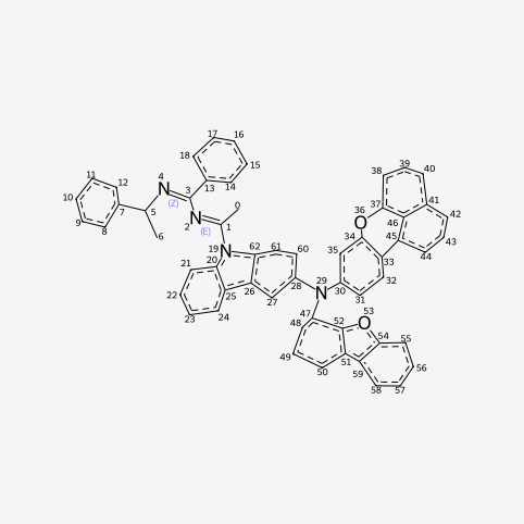 C/C(=N\C(=N/C(C)c1ccccc1)c1ccccc1)n1c2ccccc2c2cc(N(c3ccc4c(c3)Oc3cccc5cccc-4c35)c3cccc4c3oc3ccccc34)ccc21